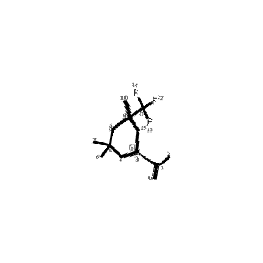 CC(C)[C@H]1CC(C)(C)CC(C)(C(F)(F)F)C1